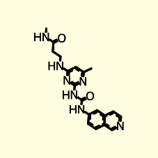 CNC(=O)CCNc1cc(C)nc(NC(=O)Nc2ccc3cnccc3c2)n1